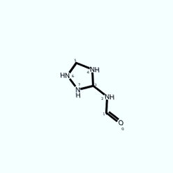 O=[C]NC1NCNN1